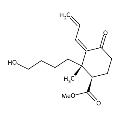 C=C/C=C1\C(=O)CC[C@@H](C(=O)OC)[C@]1(C)CCCCO